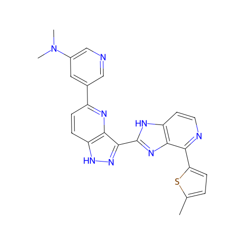 Cc1ccc(-c2nccc3[nH]c(-c4n[nH]c5ccc(-c6cncc(N(C)C)c6)nc45)nc23)s1